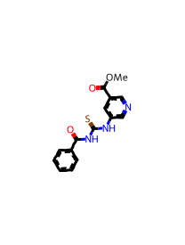 COC(=O)c1cncc(NC(=S)NC(=O)c2ccccc2)c1